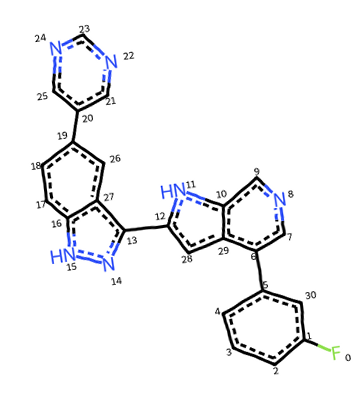 Fc1cccc(-c2cncc3[nH]c(-c4n[nH]c5ccc(-c6cncnc6)cc45)cc23)c1